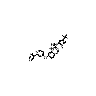 Cn1nc(C(C)(C)C)cc1NC(=O)Nc1cc(Oc2ccnc(-c3cocn3)c2)ccc1F